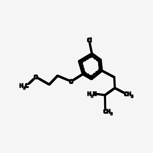 COCCOc1cc(Cl)cc(CC(C)C(C)N)c1